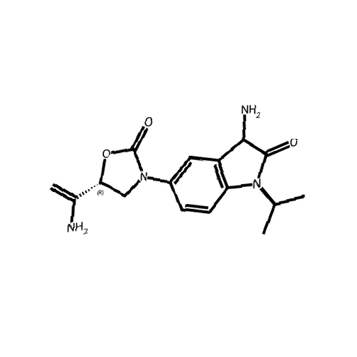 C=C(N)[C@H]1CN(c2ccc3c(c2)C(N)C(=O)N3C(C)C)C(=O)O1